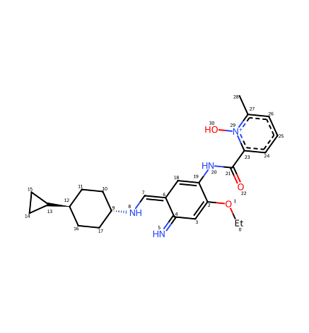 CCOC1=CC(=N)/C(=C\N[C@H]2CC[C@H](C3CC3)CC2)C=C1NC(=O)c1cccc(C)[n+]1O